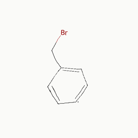 BrCc1cc[c]cc1